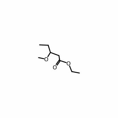 CCOC(=O)CC(CC)OC